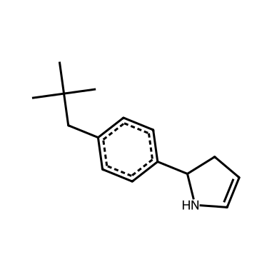 CC(C)(C)Cc1ccc(C2CC=CN2)cc1